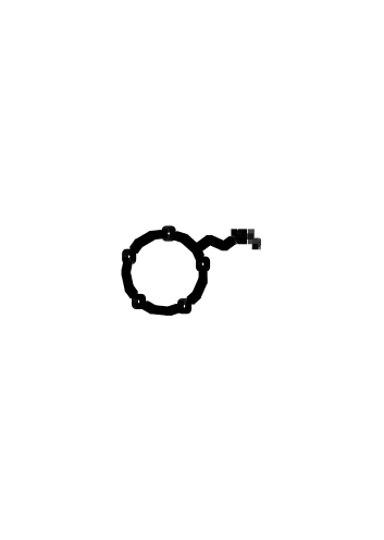 NCCC1COCCOCCOCCOCCO1